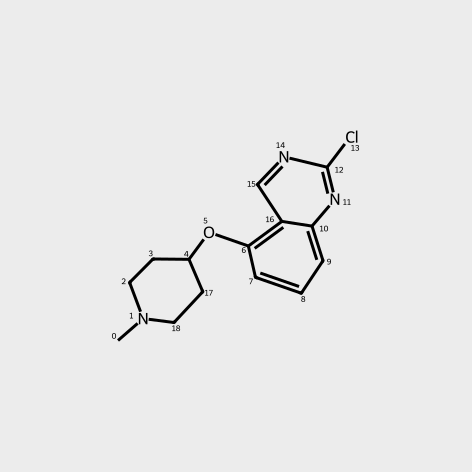 CN1CCC(Oc2cccc3nc(Cl)ncc23)CC1